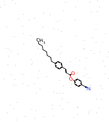 CCCCCCCCc1ccc(/C=C/C(=O)Oc2ccc(C#N)cc2)cc1